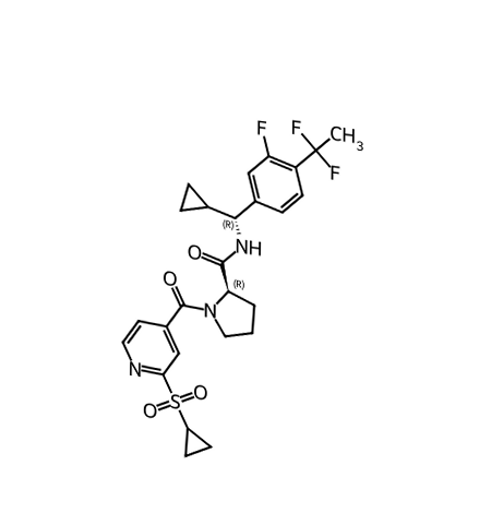 CC(F)(F)c1ccc([C@H](NC(=O)[C@H]2CCCN2C(=O)c2ccnc(S(=O)(=O)C3CC3)c2)C2CC2)cc1F